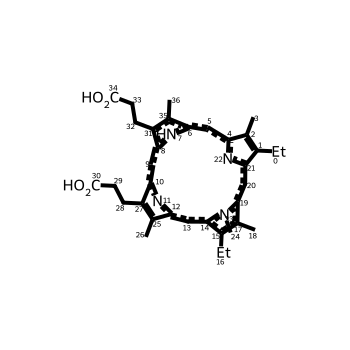 CCC1=C(C)c2cc3[nH]c(cc4nc(cc5c(CC)c(C)c(cc1n2)n5C)C(C)=C4CCC(=O)O)c(CCC(=O)O)c3C